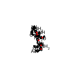 C=CC(=O)N1CCC(c2c(-c3ccc(OC4CNC4Cn4c(C5CCN(C(=O)C=C)C5)c(C5=CCC(COCn6c(C7CCN(C(=O)C=C)C7)c(-c7cnn(CC8CCN(C(C)=O)CC8)c7)c7c(N)ncnc76)CC5)c5c(N)ncnc54)cc3)c3c(N)ncnc3n2C)C1